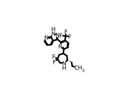 CCC[C@H]1CC(c2ccc(C(F)(F)F)c(-c3n[nH]c4ncccc34)n2)CC(F)(F)CN1